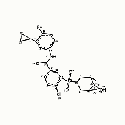 C[C@H]1CC2CC(S(=O)(=O)c3cc(C(=O)Nc4ccc(F)c(C5CC5)c4)ccc3Cl)CC1[C@]2(C)O